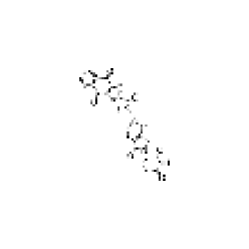 O=C1CCC(N2Cc3c(ccc(CNC(=O)c4cc5c(o4)C(=O)c4ccccc4C5=O)c3F)C2=O)C(=O)N1